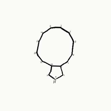 C1CCCCCC2CNCC2CCCC1